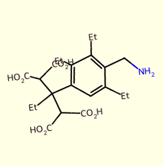 CCc1cc(C(CC)(C(C(=O)O)C(=O)O)C(C(=O)O)C(=O)O)c(CC)c(CC)c1CN